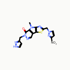 Cn1c2nc(Cn3ccc([N+](=O)[O-])n3)sc2c2cnn(Cc3cc[nH]n3)c(=O)c21